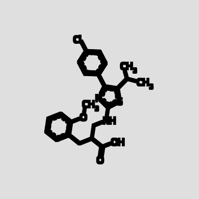 COc1ccccc1CC(CNc1nc(-c2ccc(Cl)cc2)c(C(C)C)s1)C(=O)O